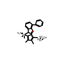 CC(C)O.CC(C)O.CC1=Cc2c(-c3ccccc3)cccc2[CH]1[Zr]([CH3])([CH3])(=[SiH2])[C]1=C(C)C(C)=C(C)C1C